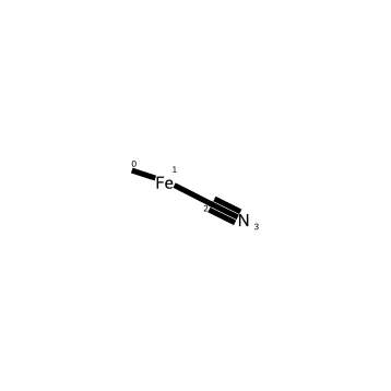 [CH3][Fe][C]#N